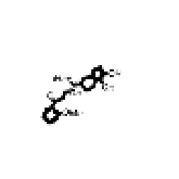 CCCCCCN(NCCC(=O)c1ccccc1OC)C1CCc2c(ccc(O)c2O)C1